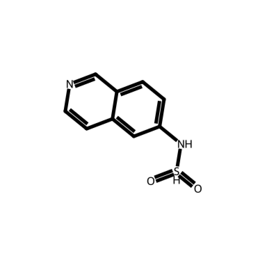 O=[SH](=O)Nc1ccc2cnccc2c1